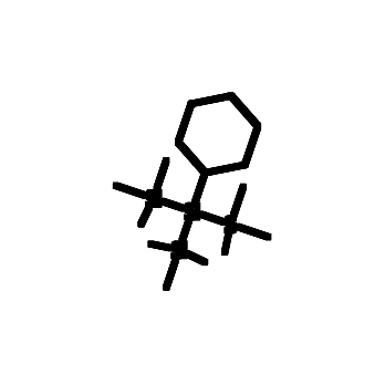 C[Si](C)(C)[Si](C1CCCCC1)([Si](C)(C)C)S(C)(C)C